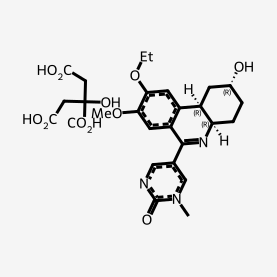 CCOc1cc2c(cc1OC)C(c1cnc(=O)n(C)c1)=N[C@@H]1CC[C@@H](O)C[C@H]21.O=C(O)CC(O)(CC(=O)O)C(=O)O